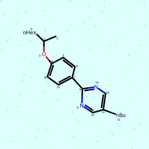 CCCCCCC(C)Oc1ccc(-c2ncc(CCCC)cn2)cc1